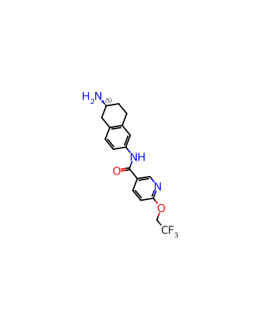 N[C@H]1CCc2cc(NC(=O)c3ccc(OCC(F)(F)F)nc3)ccc2C1